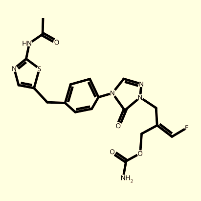 CC(=O)Nc1ncc(Cc2ccc(-n3cnn(C/C(=C\F)COC(N)=O)c3=O)cc2)s1